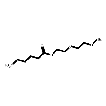 CCCCOCCOCCOC(=O)CCCCC(=O)O